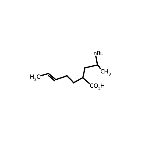 C/C=C/CCC(CC(C)CCCC)C(=O)O